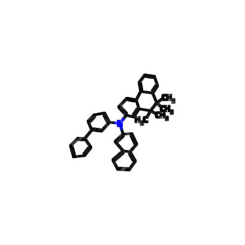 CC1(C)c2ccccc2-c2ccc(N(c3cccc(-c4ccccc4)c3)c3ccc4ccccc4c3)cc2C1(C)C